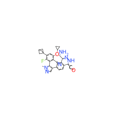 Cn1ncc(-c2ccc3c(c2)C(CN)=NNC3=C=O)c1-c1c(F)c(C23CC(C2)C3)cc(OC2CC2)c1C#N